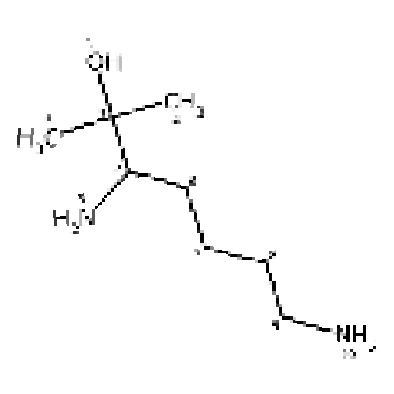 CC(C)(O)C(N)CCCCN